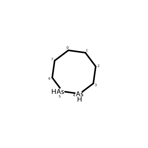 C1CCC[AsH][AsH]CC1